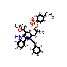 CCC(COS(=O)(=O)c1ccc(C)cc1)CC1CC(C(=O)OC)=C2Nc3ccccc3C23CCN(Cc2ccccc2)C13